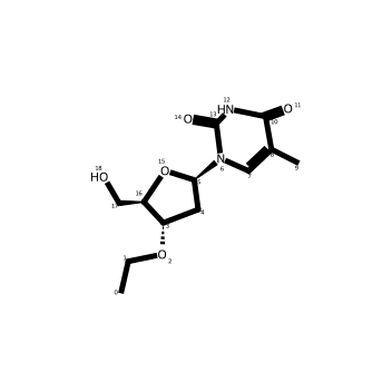 CCO[C@H]1C[C@H](n2cc(C)c(=O)[nH]c2=O)O[C@@H]1CO